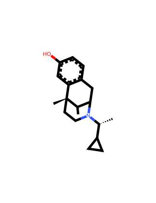 CC1C2Cc3ccc(O)cc3[C@@]1(C)CCN2[C@H](C)C1CC1